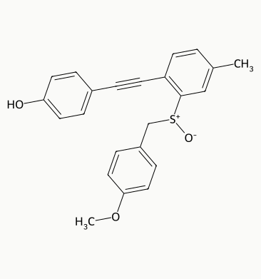 COc1ccc(C[S+]([O-])c2cc(C)ccc2C#Cc2ccc(O)cc2)cc1